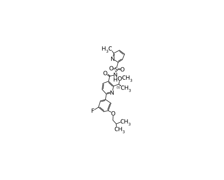 CO[C@@H](C)c1nc(-c2cc(F)cc(OCC(C)C)c2)ccc1C(=O)NS(=O)(=O)c1cccc(C)n1